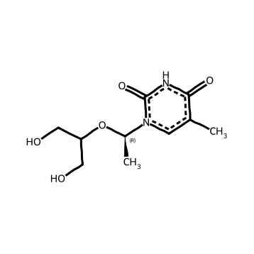 Cc1cn([C@@H](C)OC(CO)CO)c(=O)[nH]c1=O